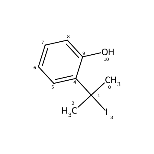 CC(C)(I)c1ccccc1O